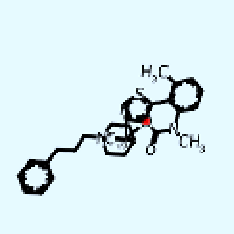 Cc1cccc(N(C)C(=O)O[C@H]2C[N+]3(CCCc4ccccc4)CCC2CC3)c1-c1cccs1